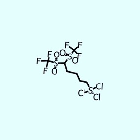 O=S(=O)(C(CCCCS(Cl)(Cl)Cl)S(=O)(=O)C(F)(F)F)C(F)(F)F